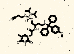 COc1ccc(C(NCCC(COP(=O)(OCCC#N)N(C(C)C)C(C)C)NC(=O)Cn2cc(C)c(=O)[nH]c2=O)(c2ccccc2)c2ccccc2)cc1